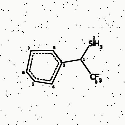 FC(F)(F)C([SiH3])c1ccccc1